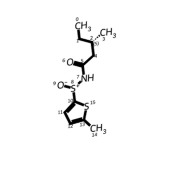 CC[C@H](C)CC(=O)N[S+]([O-])c1ccc(C)s1